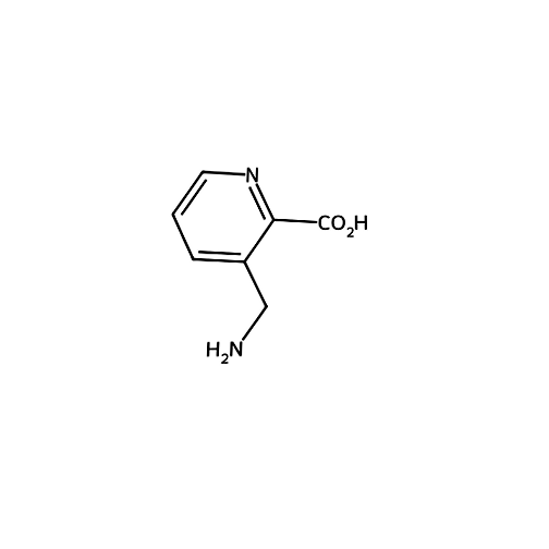 NCc1cccnc1C(=O)O